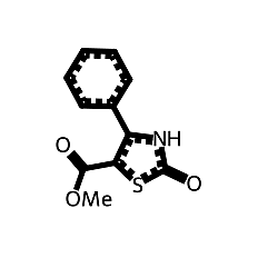 COC(=O)c1sc(=O)[nH]c1-c1ccccc1